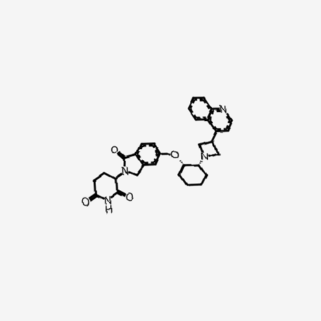 O=C1CCC(N2Cc3cc(O[C@H]4CCCC[C@H]4N4CC(c5ccnc6ccccc56)C4)ccc3C2=O)C(=O)N1